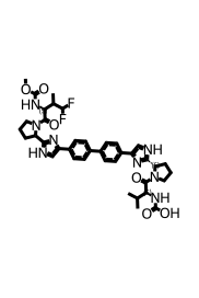 COC(=O)N[C@H](C(=O)N1CCCC1c1nc(-c2ccc(-c3ccc(-c4c[nH]c([C@@H]5CCCN5C(=O)[C@@H](NC(=O)O)C(C)C)n4)cc3)cc2)c[nH]1)C(C)C(F)F